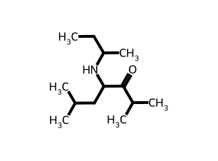 CCC(C)NC(CC(C)C)C(=O)C(C)C